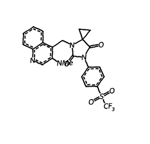 CNc1cnc2ccccc2c1CN1C(=O)N(c2ccc(S(=O)(=O)C(F)(F)F)cc2)C(=O)C12CC2